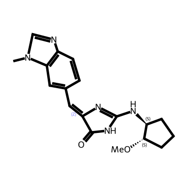 CO[C@H]1CCC[C@@H]1NC1=N/C(=C\c2ccc3ncn(C)c3c2)C(=O)N1